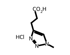 Cl.Cn1cc(CCC(=O)O)nn1